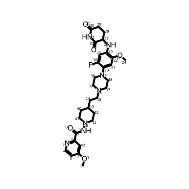 COc1ccnc(C(=O)NN2CCC(CCN3CCN(c4cc(OC)c(NC5CCC(=O)NC5=O)cc4F)CC3)CC2)c1